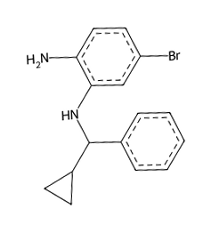 Nc1ccc(Br)cc1NC(c1ccccc1)C1CC1